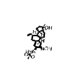 C=C[C@@H]1CC2=CC(=NNS(C)(=O)=O)C(=NO)C[C@]2(C)[C@H]2CC[C@@]3(C)[C@@H](CC[C@]3(C)O)[C@H]12